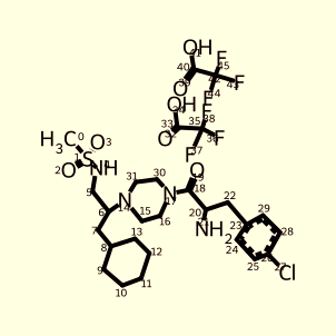 CS(=O)(=O)NCC(CC1CCCCC1)N1CCN(C(=O)C(N)Cc2ccc(Cl)cc2)CC1.O=C(O)C(F)(F)F.O=C(O)C(F)(F)F